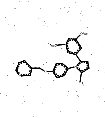 COc1cc(OC)cc(-c2ccc(C)n2-c2ccc(OCc3cccnc3)cc2)c1